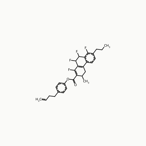 C=CCCc1ccc(OC(=O)C2=C(F)C3=C(CC2C)c2ccc(CCC)c(F)c2C(F)C3F)cc1